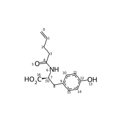 C=CCCC(=O)N[C@@H](Cc1ccc(O)cc1)C(=O)O